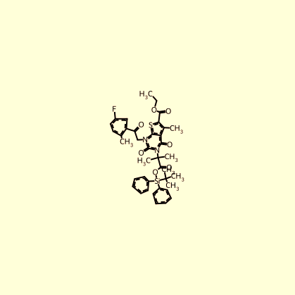 CCOC(=O)c1sc2c(c1C)c(=O)n(C(C)(C)C(=O)O[Si](c1ccccc1)(c1ccccc1)C(C)(C)C)c(=O)n2CC(=O)c1cc(F)ccc1C